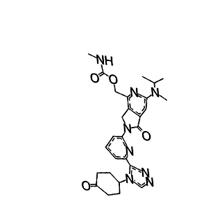 CNC(=O)OCc1nc(N(C)C(C)C)cc2c1CN(c1cccc(-c3nncn3C3CCC(=O)CC3)n1)C2=O